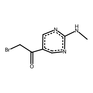 CNc1ncc(C(=O)CBr)cn1